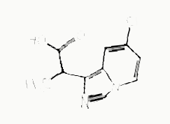 CC(C(=O)O)c1ncn2ccc(Cl)cc12